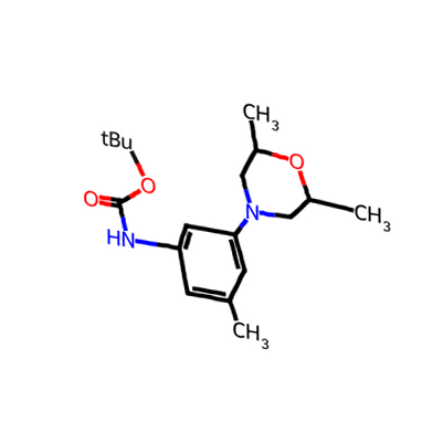 Cc1cc(NC(=O)OC(C)(C)C)cc(N2CC(C)OC(C)C2)c1